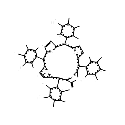 Cc1c(P)c(P)c(-c2c3nc(c(-c4c(F)c(F)c(F)c(F)c4F)c4ccc(c(-c5c(F)c(F)c(F)c(P)c5F)c5nc(c(-c6c(F)c(F)c(P)c(P)c6I)c6ccc2[nH]6)OC5=O)n4C)C=C3)c(P)c1P